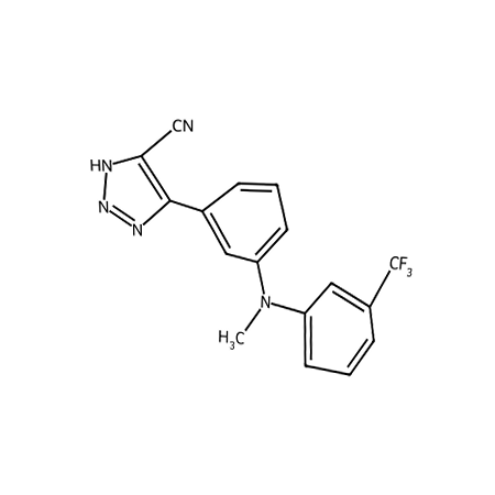 CN(c1cccc(-c2nn[nH]c2C#N)c1)c1cccc(C(F)(F)F)c1